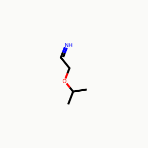 CC(C)OCC=N